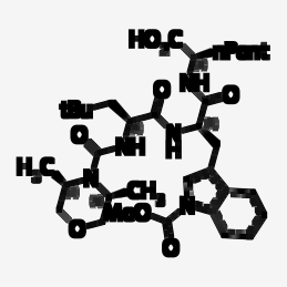 CCCCC[C@@H](NC(=O)[C@@H](Cc1cn(C(=O)OC)c2ccccc12)NC(=O)[C@H](CC(C)(C)C)NC(=O)N1[C@H](C)COC[C@@H]1C)C(=O)O